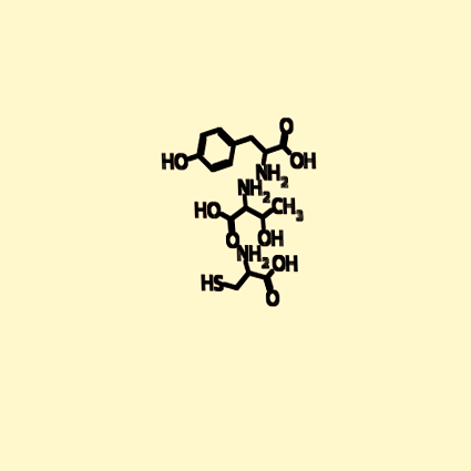 CC(O)C(N)C(=O)O.NC(CS)C(=O)O.NC(Cc1ccc(O)cc1)C(=O)O